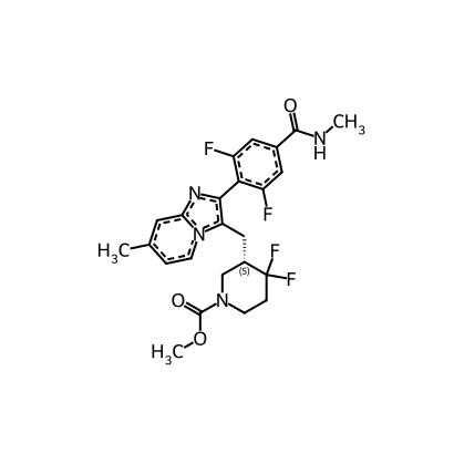 CNC(=O)c1cc(F)c(-c2nc3cc(C)ccn3c2C[C@H]2CN(C(=O)OC)CCC2(F)F)c(F)c1